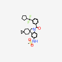 CS(=O)(=O)Nc1ccc2c(c1)C1(CCC3(CC3)CC1)CN2C(=O)c1cccc(C(F)(F)C2CCCC2)c1